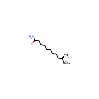 C=C(CCCCCCCC)CCCCCCCCC(N)=O